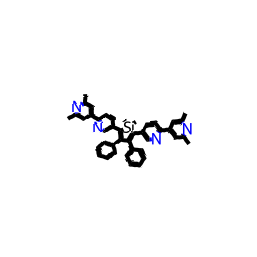 Cc1cc(-c2ccc(C3=C(c4ccccc4)C(c4ccccc4)=C(c4ccc(-c5cc(C)nc(C)c5)nc4)[Si]3(C)C)cn2)cc(C)n1